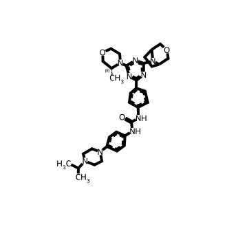 CC(C)N1CCN(c2ccc(NC(=O)Nc3ccc(-c4nc(N5C6CCC5COC6)nc(N5CCOC[C@H]5C)n4)cc3)cc2)CC1